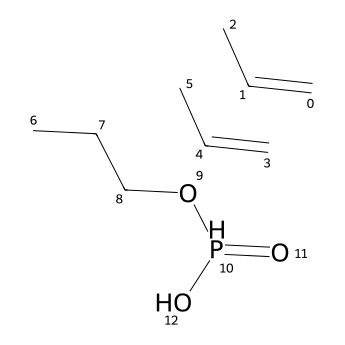 C=CC.C=CC.CCCO[PH](=O)O